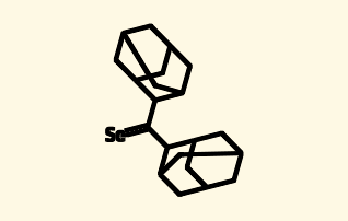 [Se]=C(C1C2CC3CC(C2)CC1C3)C1C2CC3CC(C2)CC1C3